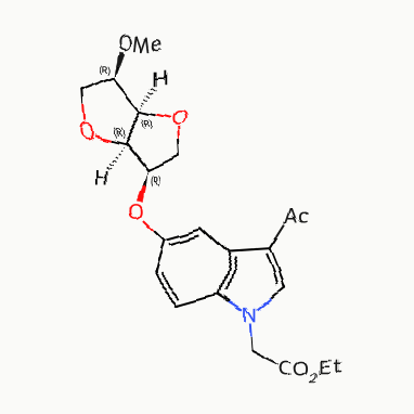 CCOC(=O)Cn1cc(C(C)=O)c2cc(O[C@@H]3CO[C@H]4[C@@H]3OC[C@H]4OC)ccc21